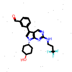 O=Cc1cccc(-c2cn([C@H]3CC[C@H](O)CC3)c3nc(NCCC(F)(F)F)ncc23)c1